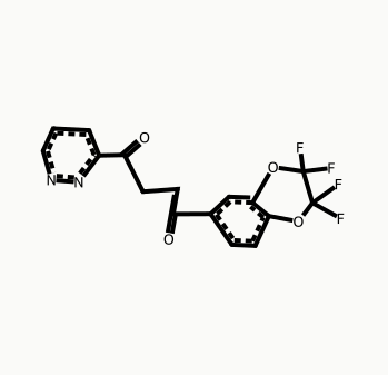 O=C(CCC(=O)c1cccnn1)c1ccc2c(c1)OC(F)(F)C(F)(F)O2